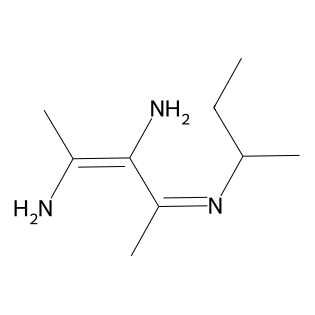 CCC(C)/N=C(C)\C(N)=C(\C)N